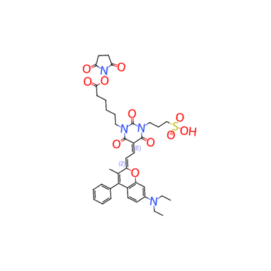 CCN(CC)c1ccc2c(c1)O/C(=C\C=C1/C(=O)N(CCCCCC(=O)ON3C(=O)CCC3=O)C(=O)N(CCCS(=O)(=O)O)C1=O)C(C)=C2c1ccccc1